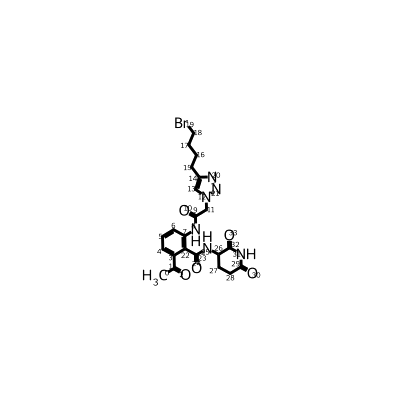 CC(=O)c1cccc(NC(=O)Cn2cc(CCCCBr)nn2)c1C(=O)NC1CCC(=O)NC1=O